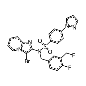 O=S(=O)(c1ccc(-n2cccn2)cc1)N(Cc1ccc(F)c(CF)c1)c1nc2ccccn2c1Br